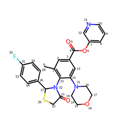 Cc1cc(C(=O)Oc2cccnc2)cc(N2CCOCC2)c1N1C(=O)CSC1c1ccc(F)cc1